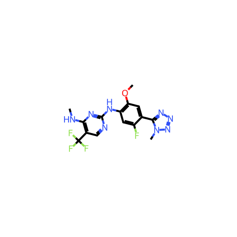 CNc1nc(Nc2cc(F)c(-c3nnnn3C)cc2OC)ncc1C(F)(F)F